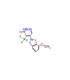 COc1cccc2c1CN(c1cn[nH]c(=O)c1C(F)(F)F)C2